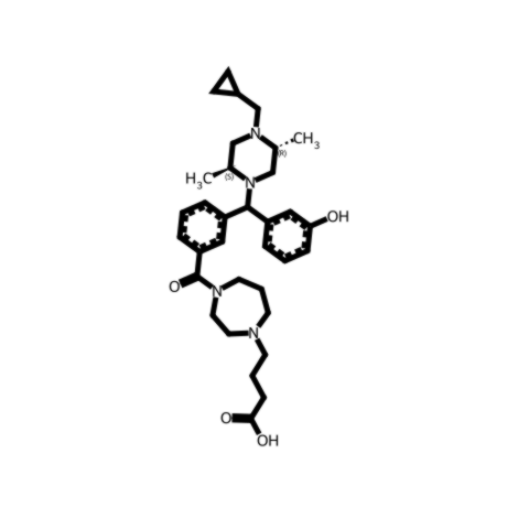 C[C@@H]1CN(C(c2cccc(O)c2)c2cccc(C(=O)N3CCCN(CCCC(=O)O)CC3)c2)[C@@H](C)CN1CC1CC1